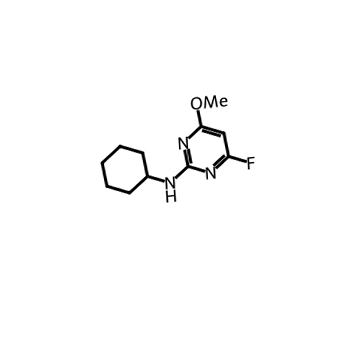 COc1cc(F)nc(NC2CCCCC2)n1